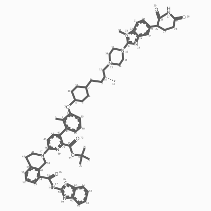 Cc1c(OC2CCC(CC[C@@H](C)CN3CCN(c4nc5cc(C6CCC(=O)NC6=O)ccc5n4C)CC3)CC2)cccc1-c1ccc(N2CCc3cccc(C(=O)Nc4nc5ccccc5s4)c3C2)nc1C(=O)OC(C)(C)C